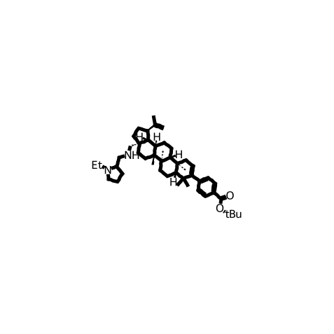 C=C(C)[C@@H]1CC[C@]2(CNCC3CCCN3CC)CC[C@]3(C)[C@H](CC[C@@H]4[C@@]5(C)CC=C(c6ccc(C(=O)OC(C)(C)C)cc6)C(C)(C)[C@@H]5CC[C@]43C)[C@@H]12